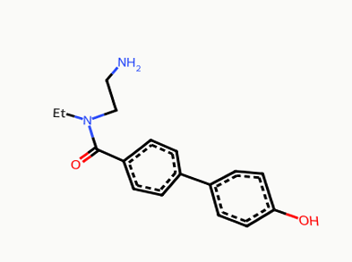 CCN(CCN)C(=O)c1ccc(-c2ccc(O)cc2)cc1